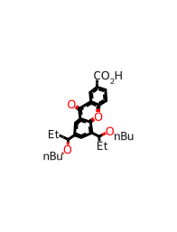 CCCCOC(CC)c1cc(C(CC)OCCCC)c2oc3ccc(C(=O)O)cc3c(=O)c2c1